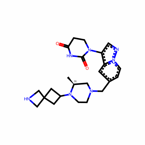 C[C@H]1CN(Cc2ccn3ncc(N4CCC(=O)NC4=O)c3c2)CCN1C1CC2(CNC2)C1